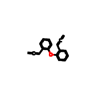 C=C=Cc1ccccc1Oc1ccccc1C=C=C